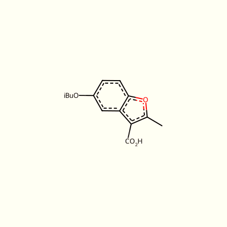 Cc1oc2ccc(OCC(C)C)cc2c1C(=O)O